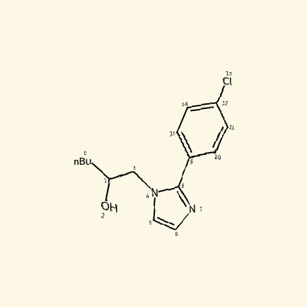 CCCCC(O)Cn1ccnc1-c1ccc(Cl)cc1